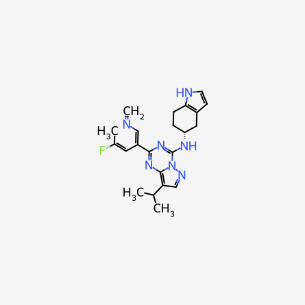 C=N/C=C(\C=C(/C)F)c1nc(N[C@@H]2CCc3[nH]ccc3C2)n2ncc(C(C)C)c2n1